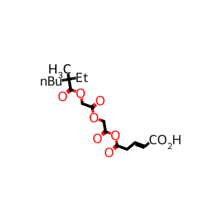 CCCCC(C)(CC)C(=O)OCC(=O)OCC(=O)OC(=O)C/C=C/C(=O)O